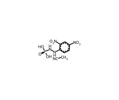 CC#N.O=[N+]([O-])c1ccc(NNP(=O)(O)O)c([N+](=O)[O-])c1